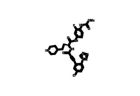 COC(=O)Nc1ccc(NC(=O)[C@H](CCC2CCNCC2)NC(=O)C#Cc2cc(Cl)ccc2-n2cnnn2)cc1F